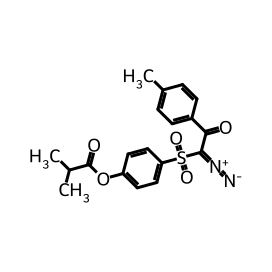 Cc1ccc(C(=O)C(=[N+]=[N-])S(=O)(=O)c2ccc(OC(=O)C(C)C)cc2)cc1